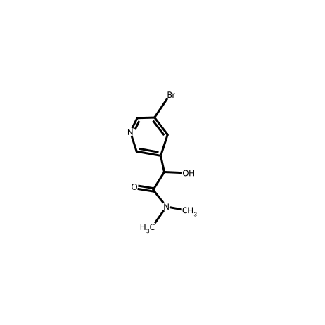 CN(C)C(=O)C(O)c1cncc(Br)c1